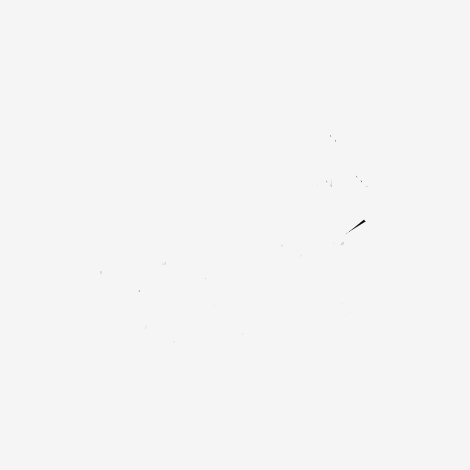 C[C@](O)(Cn1cncn1)c1ccc(Oc2ccc(F)cc2)cc1Cl